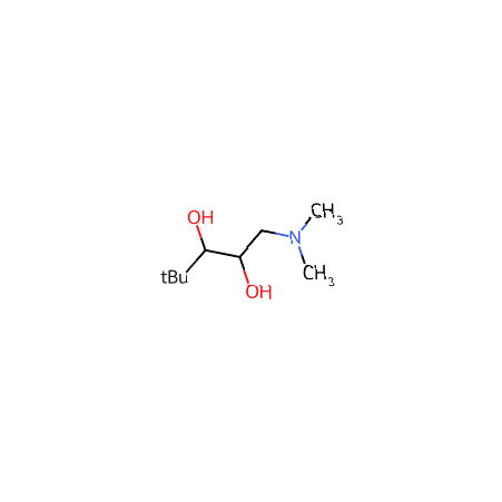 CN(C)CC(O)C(O)C(C)(C)C